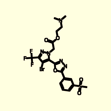 CN(C)CCOC(=O)Cn1nc(C(F)(F)F)c(Br)c1-c1nnc(-c2cccc(S(C)(=O)=O)c2)o1